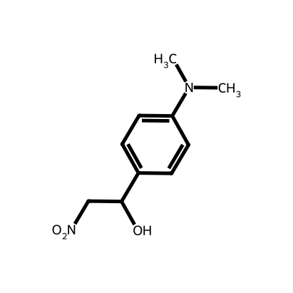 CN(C)c1ccc(C(O)C[N+](=O)[O-])cc1